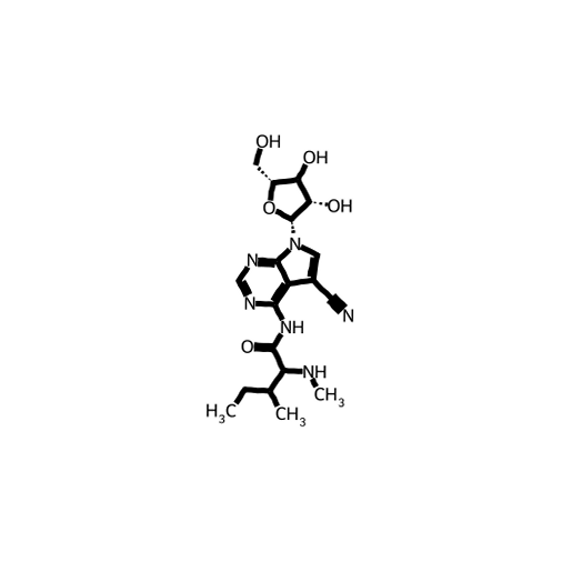 CCC(C)C(NC)C(=O)Nc1ncnc2c1c(C#N)cn2[C@@H]1O[C@H](CO)C(O)[C@@H]1O